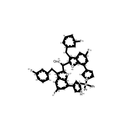 CC(C)[Si](C(C)C)(C(C)C)n1ccc(-c2cc(F)cc3c(Cc4cccc(F)c4)c(C(C=O)c4oc5c(-c6cc[nH]c6)cc(F)cc5c4Cc4cccc(F)c4)oc23)c1